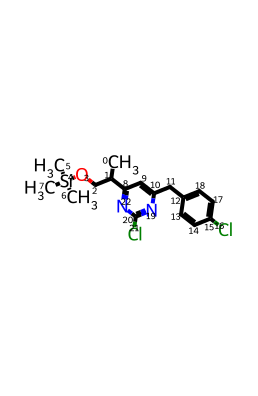 CC(CO[Si](C)(C)C)c1cc(Cc2ccc(Cl)cc2)nc(Cl)n1